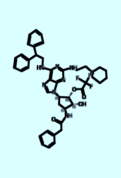 O=C(Cc1ccccc1)N[C@H]1C[C@@H](n2cnc3c(NCC(c4ccccc4)c4ccccc4)nc(NCCN4CCCCC4)nc32)[C@H](OC(=O)C(F)(F)F)[C@@H]1O